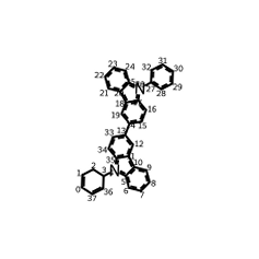 C1=CCC(n2c3ccccc3c3cc(-c4ccc5c(c4)c4ccccc4n5-c4ccccc4)ccc32)C=C1